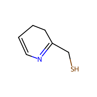 SCC1=NC=CCC1